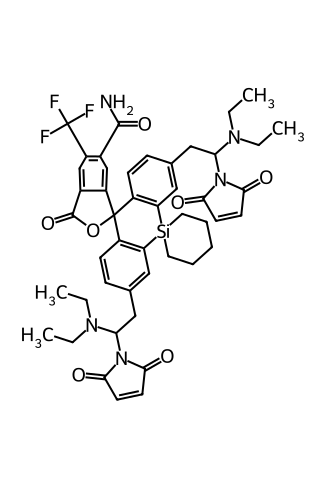 CCN(CC)C(Cc1ccc2c(c1)[Si]1(CCCCC1)c1cc(CC(N(CC)CC)N3C(=O)C=CC3=O)ccc1C21OC(=O)c2cc(C(F)(F)F)c(C(N)=O)cc21)N1C(=O)C=CC1=O